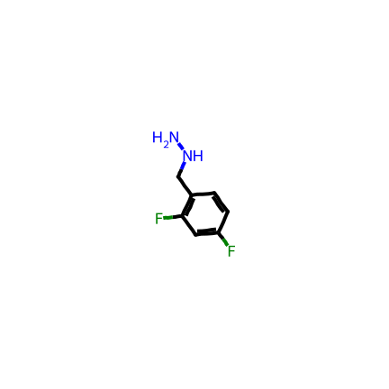 NNCc1ccc(F)cc1F